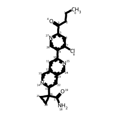 CCCC(=O)c1cc(Cl)c(-c2cc3cnc(C4(C(N)=O)CC4)cc3cn2)cn1